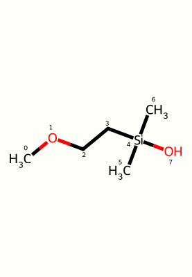 COCC[Si](C)(C)O